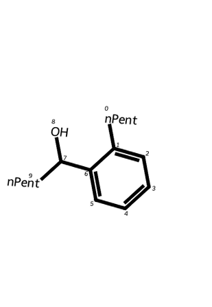 CCCCCc1ccccc1C(O)CCCCC